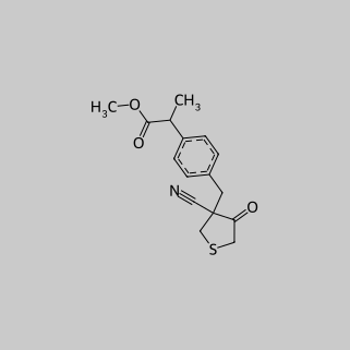 COC(=O)C(C)c1ccc(CC2(C#N)CSCC2=O)cc1